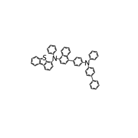 c1ccc(-c2ccc(N(c3ccccc3)c3ccc(-c4ccc(N(c5ccccc5)c5cccc6c5sc5ccccc56)c5ccccc45)cc3)cc2)cc1